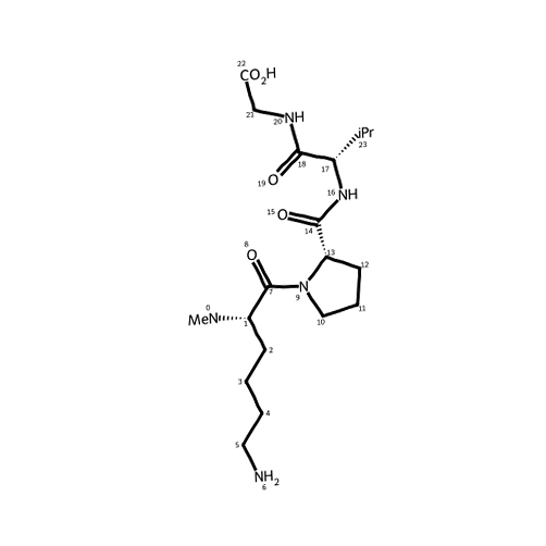 CN[C@@H](CCCCN)C(=O)N1CCC[C@H]1C(=O)N[C@H](C(=O)NCC(=O)O)C(C)C